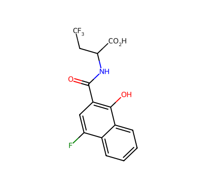 O=C(NC(CC(F)(F)F)C(=O)O)c1cc(F)c2ccccc2c1O